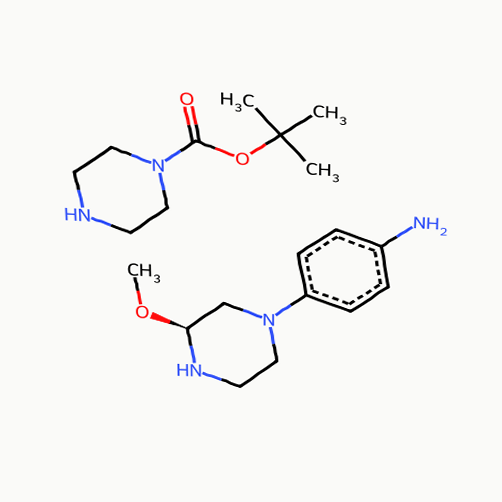 CC(C)(C)OC(=O)N1CCNCC1.CO[C@H]1CN(c2ccc(N)cc2)CCN1